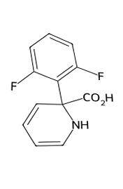 O=C(O)C1(c2c(F)cccc2F)C=CC=CN1